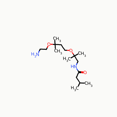 CC(C)CC(=O)NCC(C)(C)OCCC(C)(C)OCCN